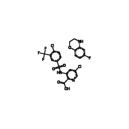 Fc1ccc2c(c1)NCCO2.O=C(O)c1ncc(Cl)cc1NS(=O)(=O)c1ccc(Cl)c(C(F)(F)F)c1